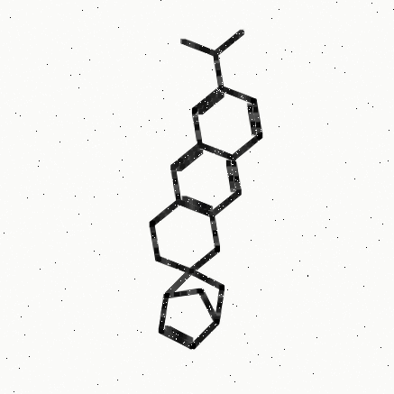 CC(C)c1ccc2cc3c(cc2c1)CCC1(C3)CC2C=CC1C2